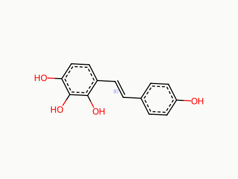 Oc1ccc(/C=C/c2ccc(O)c(O)c2O)cc1